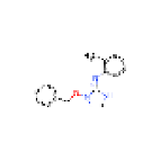 Cc1ccccc1/N=C1\NCCN1OCc1ccccc1